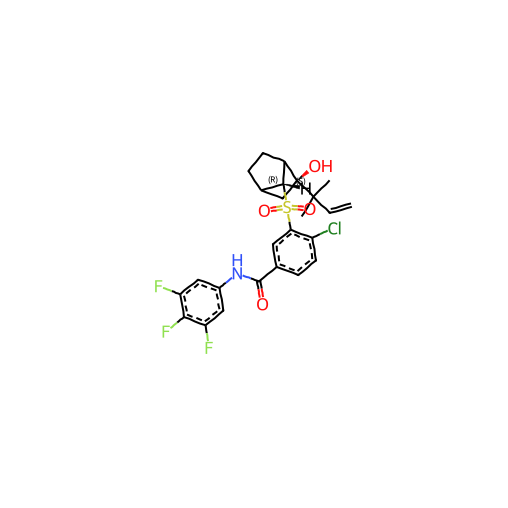 C=CC(C)(C)[C@]1(O)CC2CCC1[C@@H]2S(=O)(=O)c1cc(C(=O)Nc2cc(F)c(F)c(F)c2)ccc1Cl